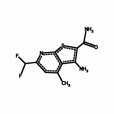 Cc1cc(C(F)F)nc2sc(C(N)=O)c(N)c12